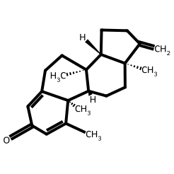 C=C1CC[C@H]2[C@]3(C)CCC4=CC(=O)C=C(C)[C@]4(C)[C@H]3CC[C@]12C